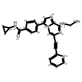 CC(C)CNc1nc(C#Cc2ccccn2)cn2c(-c3ccc(C(=O)NC4CC4)cc3)cnc12